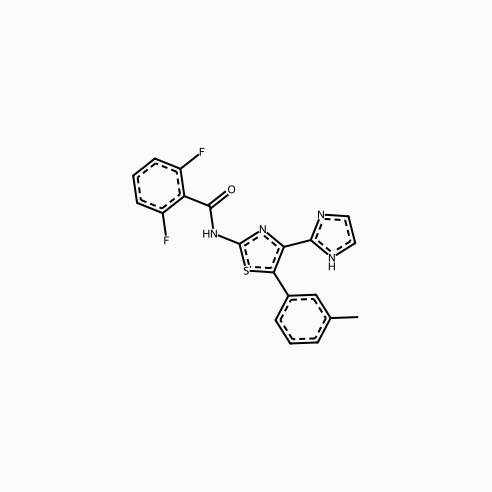 Cc1cccc(-c2sc(NC(=O)c3c(F)cccc3F)nc2-c2ncc[nH]2)c1